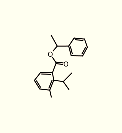 Cc1cccc(C(=O)OC(C)c2ccccc2)c1C(C)C